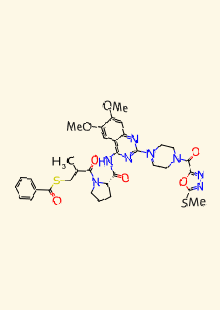 COc1cc2nc(N3CCN(C(=O)c4nnc(SC)o4)CC3)nc(NC(=O)[C@@H]3CCCN3C(=O)C(C)CSC(=O)c3ccccc3)c2cc1OC